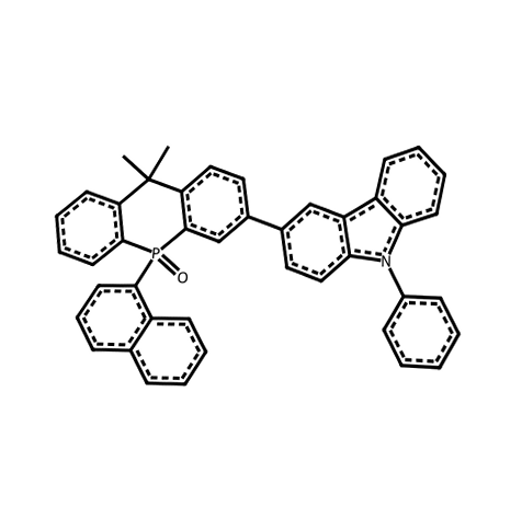 CC1(C)c2ccccc2P(=O)(c2cccc3ccccc23)c2cc(-c3ccc4c(c3)c3ccccc3n4-c3ccccc3)ccc21